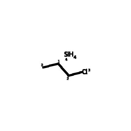 CCCCl.[SiH4]